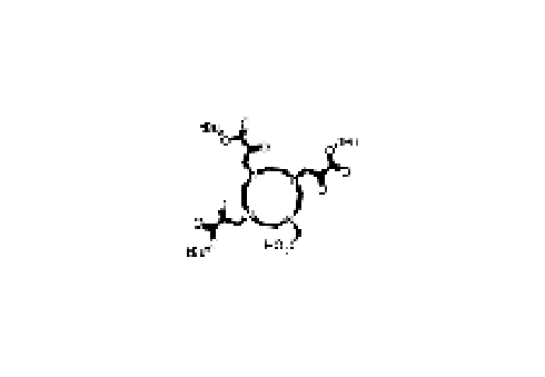 CC(C)(C)OC(=O)C(=O)CN1CCN(CC(=O)O)CCN(CC(=O)C(=O)OC(C)(C)C)CCN(CC(=O)C(=O)OC(C)(C)C)CC1